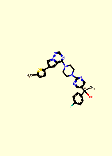 Cc1ccc(-c2cc3c(N4CCN(c5ncc([C@](C)(O)c6ccc(F)cc6)cn5)CC4)ncnn3c2)s1